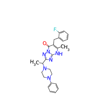 Cc1[nH]c2nc(C(C)N3CCN(c4ccccc4)CC3)nn2c(=O)c1Cc1ccccc1F